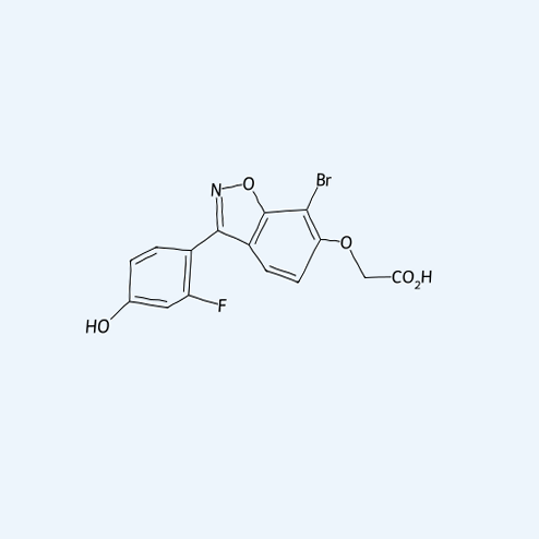 O=C(O)COc1ccc2c(-c3ccc(O)cc3F)noc2c1Br